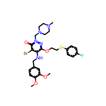 COc1ccc(CNc2c(OCCSc3ccc(F)cc3)nn(CN3CCN(C)CC3)c(=O)c2Br)cc1OC